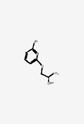 CO[C@H](C)COc1cccc(C(C)C)n1